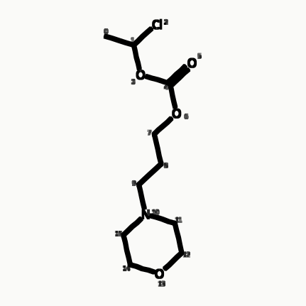 CC(Cl)OC(=O)OCCCN1CCOCC1